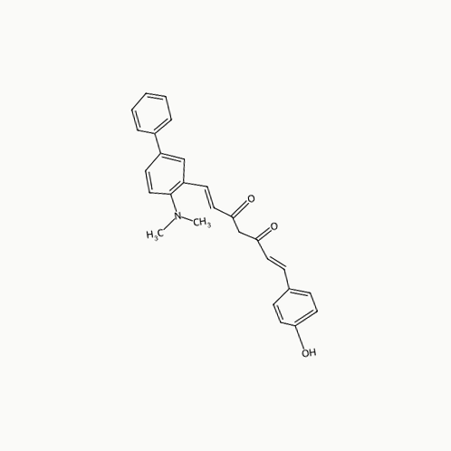 CN(C)c1ccc(-c2ccccc2)cc1C=CC(=O)CC(=O)C=Cc1ccc(O)cc1